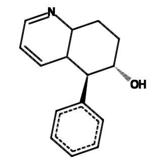 O[C@H]1CCC2N=CC=CC2[C@@H]1c1ccccc1